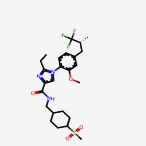 CCc1nc(C(=O)NCC2CCC(S(C)(=O)=O)CC2)cn1-c1ccc(C[C@@H](C)C(F)(F)F)cc1OC